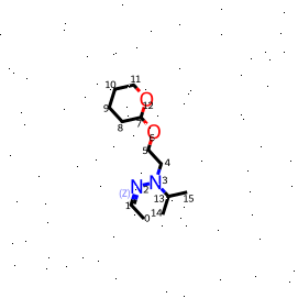 C/C=N\N(CCOC1CCCCO1)C(C)C